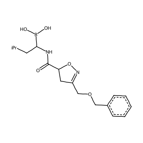 CC(C)CC(NC(=O)C1CC(COCc2ccccc2)=NO1)B(O)O